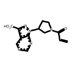 C=CC(=O)N1CCC(n2nc(C(=O)O)c3cncnc32)C1